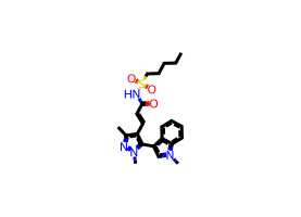 CCCCCS(=O)(=O)NC(=O)C=Cc1c(C)nn(C)c1-c1cn(C)c2ccccc12